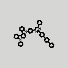 c1ccc(-c2ccc(-c3ccc(-c4nc(-c5ccccc5)cc(-c5ccc(-n6c7ccccc7c7c8c9ccccc9n(-c9ccccc9)c8ccc76)cc5)n4)cc3)cc2)cc1